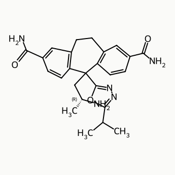 CC(C)c1nnc(C2(C[C@@H](C)N)c3ccc(C(N)=O)cc3CCc3cc(C(N)=O)ccc32)o1